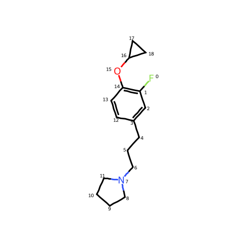 Fc1cc(CCCN2CCCC2)ccc1OC1CC1